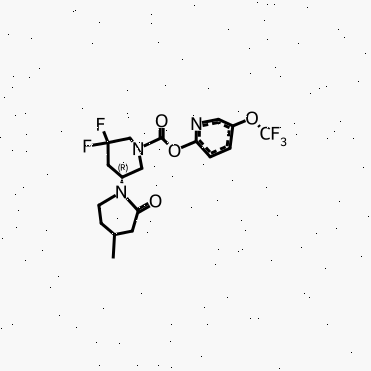 CC1CCN([C@H]2CN(C(=O)Oc3ccc(OC(F)(F)F)cn3)CC(F)(F)C2)C(=O)C1